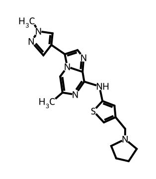 Cc1cn2c(-c3cnn(C)c3)cnc2c(Nc2cc(CN3CCCC3)cs2)n1